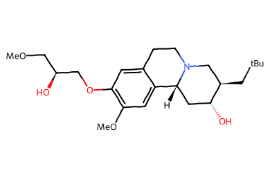 COC[C@H](O)COc1cc2c(cc1OC)[C@H]1C[C@@H](O)[C@H](CC(C)(C)C)CN1CC2